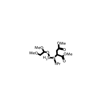 CCCN([SiH2]OC(COC)OC)C(CC(=O)OC)C(=O)OC